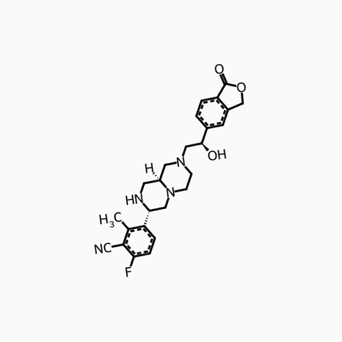 Cc1c([C@H]2CN3CCN(C[C@H](O)c4ccc5c(c4)COC5=O)C[C@@H]3CN2)ccc(F)c1C#N